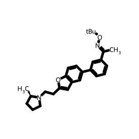 CC(=NOC(C)(C)C)c1cccc(-c2ccc3oc(CCN4CCC[C@H]4C)cc3c2)c1